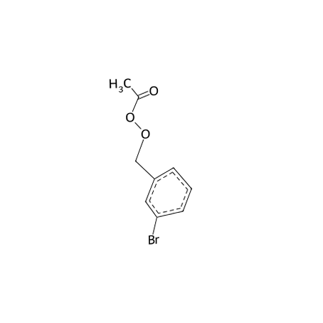 CC(=O)OOCc1cccc(Br)c1